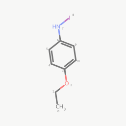 CCOc1ccc(NI)cc1